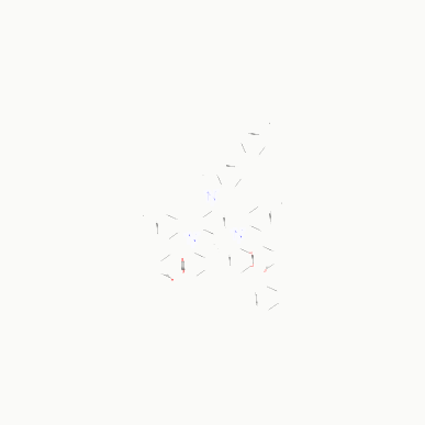 CC(C)(C)c1ccc(-c2ccc3c(c2)C2(C)CCCCC2(C)N3c2cc3c4c(c2)N(c2ccc(C(C)(C)C)cc2-c2ccccc2)c2cc5c(cc2B4c2ccc(C(C)(C)C)cc2N3c2ccc(C(C)(C)C)cc2-c2ccccc2)C(C)(C)c2ccccc2C5(C)C)cc1